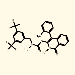 Cc1ccccc1-c1c(OC(=O)N(C)Cc2cc(C(F)(F)F)cc(C(F)(F)F)c2)n(C)c(=O)c2ccccc12